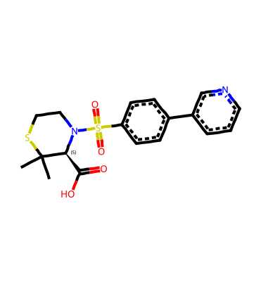 CC1(C)SCCN(S(=O)(=O)c2ccc(-c3cccnc3)cc2)[C@H]1C(=O)O